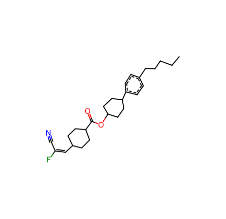 CCCCCc1ccc(C2CCC(OC(=O)C3CCC(/C=C(/F)C#N)CC3)CC2)cc1